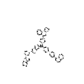 c1cc(-c2ccc3cc(N(c4ccc(-c5ccc(-c6cccc7ccccc67)cc5)cc4)c4ccc(-c5cc6ccccc6c6ccccc56)cc4)ccc3c2)cc(-c2cc3ccccc3o2)c1